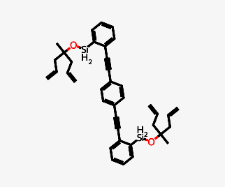 C=CCC(C)(CC=C)O[SiH2]c1ccccc1C#Cc1ccc(C#Cc2ccccc2[SiH2]OC(C)(CC=C)CC=C)cc1